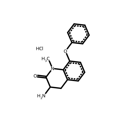 CN1C(=O)C(N)Cc2cccc(Oc3ccccc3)c21.Cl